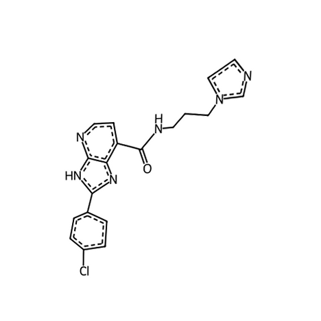 O=C(NCCCn1ccnc1)c1ccnc2[nH]c(-c3ccc(Cl)cc3)nc12